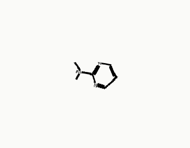 C[As](C)c1nc[c]cn1